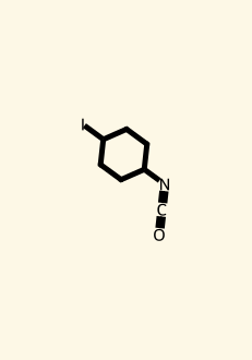 O=C=NC1CCC(I)CC1